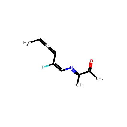 CC=C=C/C(F)=C\N=C(/C)C(C)=O